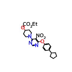 CCOC(=O)OC1CCN(c2ncnc(Oc3ccc(C4CCCC4)cc3)c2[N+](=O)[O-])CC1